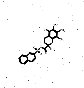 CC(=O)Oc1c(C)c(C)c2c(c1C)CCC(C)(C(=O)NS(=O)(=O)c1ccc3ccccc3c1)O2